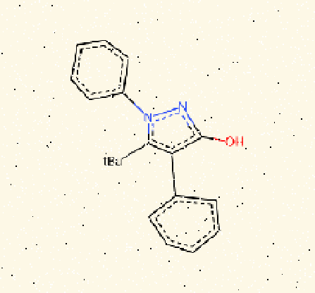 CC(C)(C)c1c(-c2ccccc2)c(O)nn1-c1ccccc1